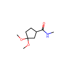 CNC(=O)C1CCC(OC)(OC)C1